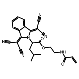 C=CC(=O)NCCOC(=O)C(CC(C)C)n1c(=C(C#N)C#N)c2ccccc2c1=C(C#N)C#N